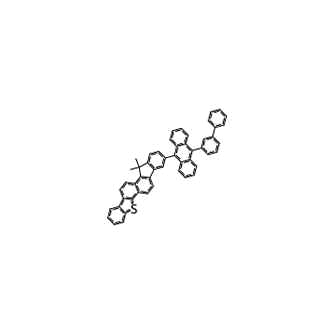 CC1(C)c2ccc(-c3c4ccccc4c(-c4cccc(-c5ccccc5)c4)c4ccccc34)cc2-c2ccc3c(ccc4c5ccccc5sc34)c21